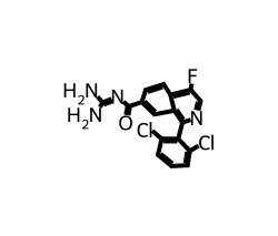 NC(N)=NC(=O)c1ccc2c(F)cnc(-c3c(Cl)cccc3Cl)c2c1